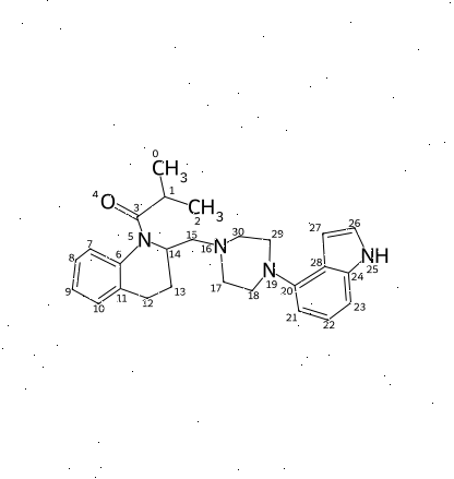 CC(C)C(=O)N1c2ccccc2CCC1CN1CCN(c2cccc3[nH]ccc23)CC1